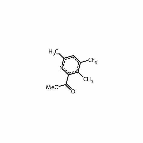 COC(=O)c1nc(C)cc(C(F)(F)F)c1C